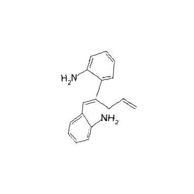 C=CC/C(=C\c1ccccc1N)c1ccccc1N